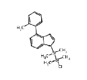 Cc1ccccc1-c1cccc2c1C=CC2[Si](C)(C)[Si](C)(C)Cl